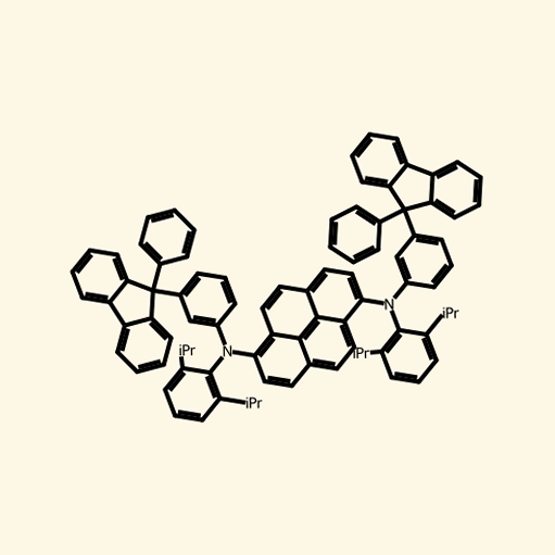 CC(C)c1cccc(C(C)C)c1N(c1cccc(C2(c3ccccc3)c3ccccc3-c3ccccc32)c1)c1ccc2ccc3c(N(c4cccc(C5(c6ccccc6)c6ccccc6-c6ccccc65)c4)c4c(C(C)C)cccc4C(C)C)ccc4ccc1c2c43